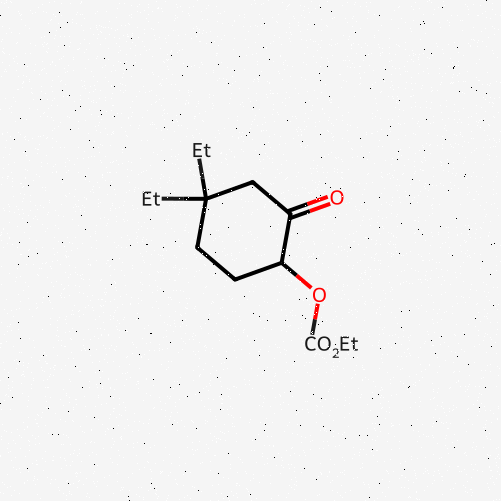 CCOC(=O)OC1CCC(CC)(CC)CC1=O